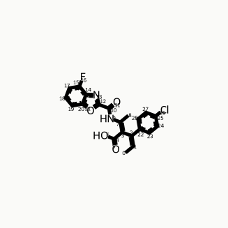 C/C=C(\C(C(=O)O)=C(/C)NC(=O)c1nc2c(F)cccc2o1)c1ccc(Cl)cc1